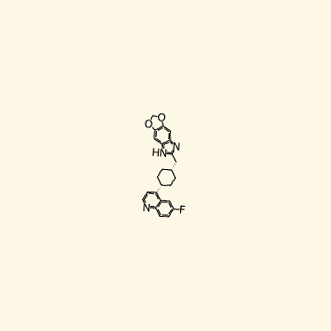 Fc1ccc2nccc([C@H]3CC[C@@H](Cc4nc5cc6c(cc5[nH]4)OCO6)CC3)c2c1